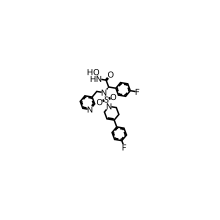 O=C(NO)[C@@H](c1ccc(F)cc1)N(Cc1cccnc1)S(=O)(=O)N1CC=C(c2ccc(F)cc2)CC1